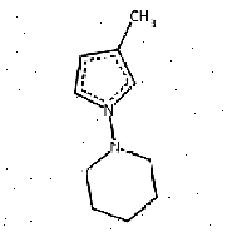 Cc1ccn(N2[CH]CCCC2)c1